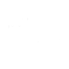 CC(=O)c1ccc(OB(O)O)s1